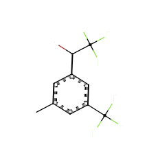 Cc1cc(C(Br)C(F)(F)F)cc(C(F)(F)F)c1